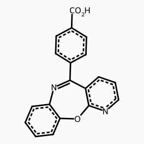 O=C(O)c1ccc(C2=Nc3ccccc3Oc3ncccc32)cc1